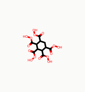 O=C(OO)C1CC(C(=O)OO)C(C(=O)OO)C(C(=O)OO)C1C(=O)OO